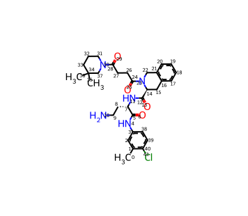 Cc1cc(NC(=O)[C@H](CCN)NC(=O)[C@@H]2Cc3ccccc3CN2C(=O)CCC(=O)N2CCCC(C)(C)C2)ccc1Cl